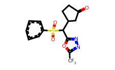 O=C1CCC(C(c2nnc(C(F)(F)F)o2)S(=O)(=O)c2ccccc2)C1